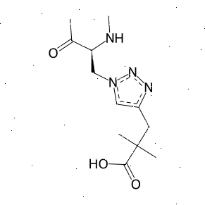 CN[C@@H](Cn1cc(CC(C)(C)C(=O)O)nn1)C(C)=O